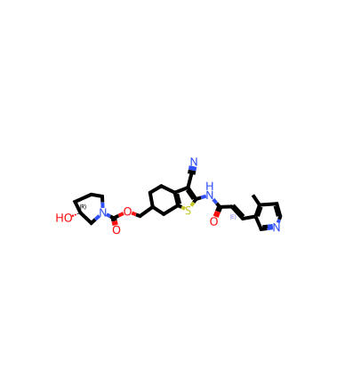 Cc1ccncc1/C=C/C(=O)Nc1sc2c(c1C#N)CCC(COC(=O)N1CCC[C@@H](O)C1)C2